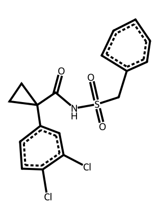 O=C(NS(=O)(=O)Cc1ccccc1)C1(c2ccc(Cl)c(Cl)c2)CC1